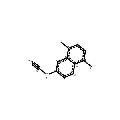 Cc1ccc(C)c2cc(OC#N)ccc12